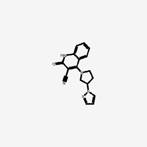 N#Cc1c(N2CCC(n3cccn3)C2)c2ccccc2[nH]c1=O